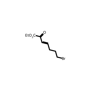 CCOC(=O)C(=O)C=CCCCBr